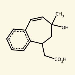 CC1(O)C=Cc2ccccc2C(CC(=O)O)C1